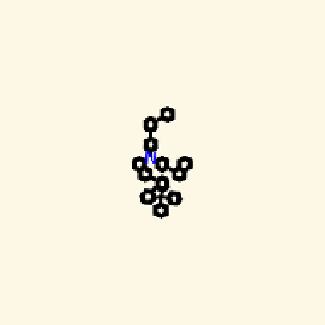 c1ccc(-c2cccc(-c3ccc(N(c4ccc(-c5cccc6ccccc56)cc4)c4cccc5ccc(-c6cccc7c6-c6ccccc6C7(c6ccccc6)c6ccccc6)cc45)cc3)c2)cc1